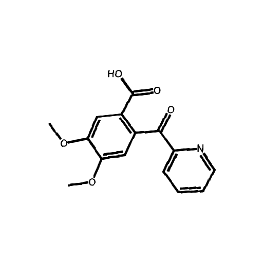 COc1cc(C(=O)O)c(C(=O)c2ccccn2)cc1OC